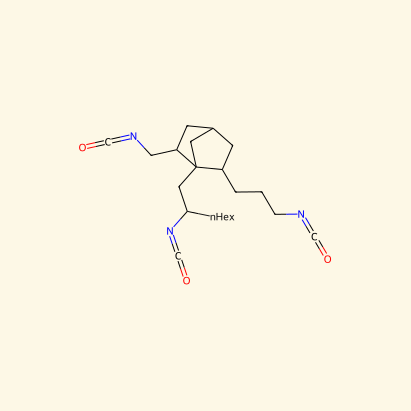 CCCCCCC(CC12CC(CC1CCCN=C=O)CC2CN=C=O)N=C=O